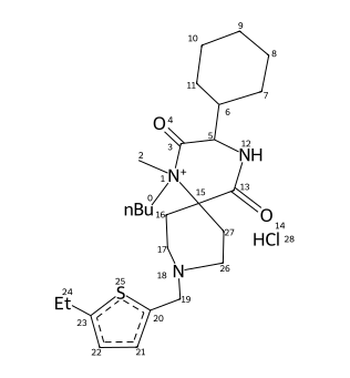 CCCC[N+]1(C)C(=O)C(C2CCCCC2)NC(=O)C12CCN(Cc1ccc(CC)s1)CC2.Cl